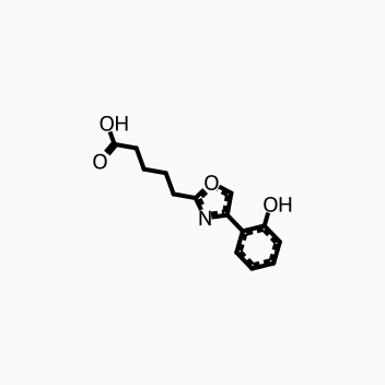 O=C(O)CCCCc1nc(-c2ccccc2O)co1